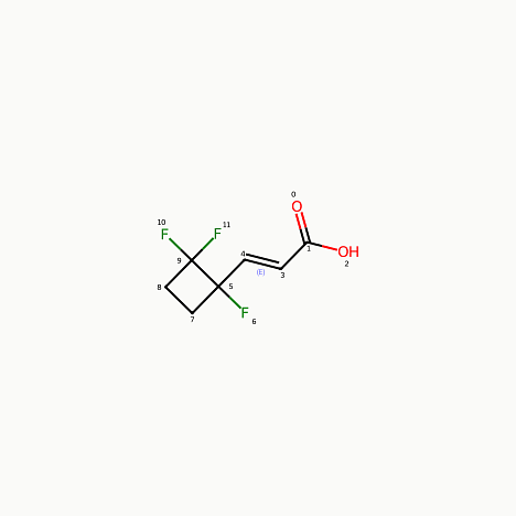 O=C(O)/C=C/C1(F)CCC1(F)F